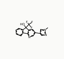 Cn1cc(-c2cnc3c(c2)C(O)(C(F)(F)F)c2ccccc2-3)cn1